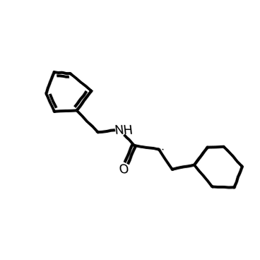 O=C([CH]CC1CCCCC1)NCc1ccccc1